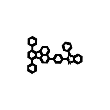 C1=c2c(-c3ccc(-c4nc5ccccc5n4-c4ccccc4)cc3)ccc3c2=C(CC1)c1c(-c2ccccc2)ccc(-c2ccccc2)c1-3